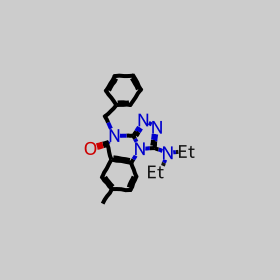 CCN(CC)c1nnc2n(Cc3ccccc3)c(=O)c3cc(C)ccc3n12